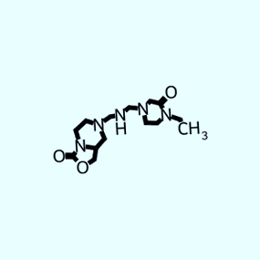 CCN1CCN(CNCN2CCN3C(=O)OCC3C2)CC1=O